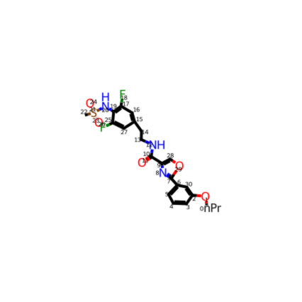 CCCOc1cccc(-c2nc(C(=O)NCCc3cc(F)c(NS(C)(=O)=O)c(F)c3)co2)c1